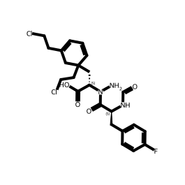 NN(C(=O)[C@H](Cc1ccc(F)cc1)NC=O)[C@@H](CC1(CCCl)C=CC=C(CCCl)C1)C(=O)O